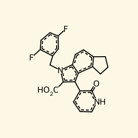 O=C(O)c1c(-c2ccc[nH]c2=O)c2c3c(ccc2n1Cc1cc(F)ccc1F)CCC3